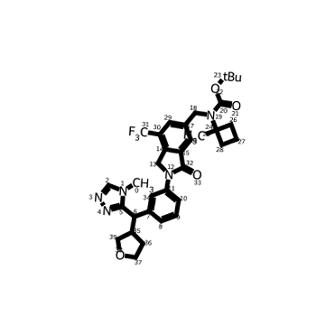 Cn1cnnc1C(c1cccc(N2Cc3c(cc(CN(C(=O)OC(C)(C)C)C4(C)CCC4)cc3C(F)(F)F)C2=O)c1)C1CCOC1